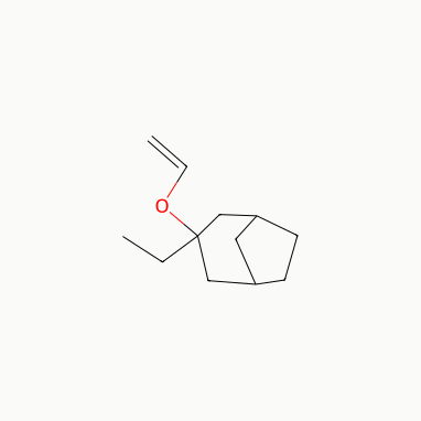 C=COC1(CC)CC2CCC(C2)C1